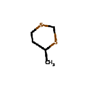 CC1CCSCS1